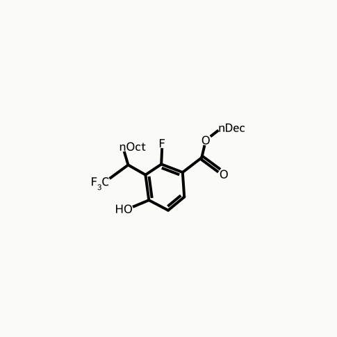 CCCCCCCCCCOC(=O)c1ccc(O)c(C(CCCCCCCC)C(F)(F)F)c1F